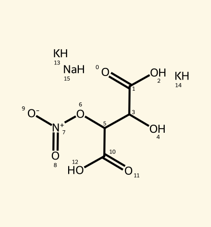 O=C(O)C(O)C(O[N+](=O)[O-])C(=O)O.[KH].[KH].[NaH]